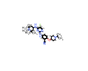 CC(C)N1CCC(Oc2ccc(Nc3ncc(F)c(NC4CC(C)(C)N(C)C(C)(C)C4)n3)cc2C#N)CC1